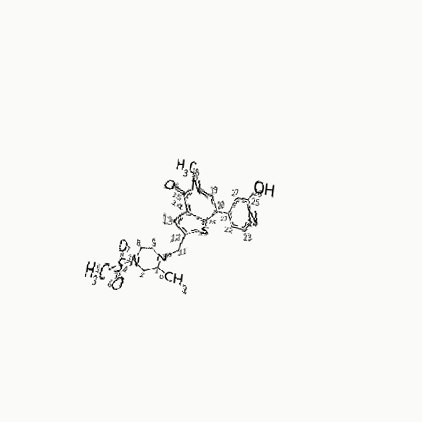 CC1CN(S(C)(=O)=O)CCN1Cc1cc2c(=O)n(C)cc(-c3ccnc(O)c3)c2s1